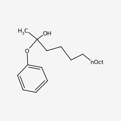 CCCCCCCCCCCCC(C)(O)Oc1ccccc1